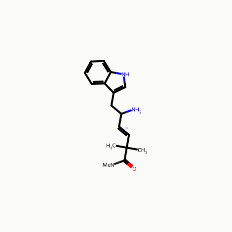 CNC(=O)C(C)(C)/C=C/C(N)Cc1c[nH]c2ccccc12